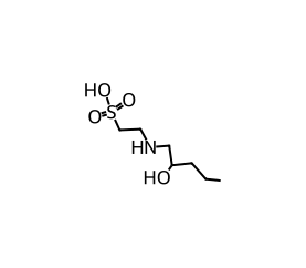 CCCC(O)CNCCS(=O)(=O)O